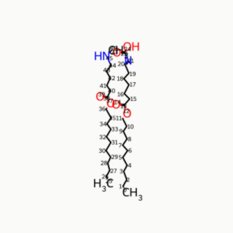 CCCCCCCCCCCCOC(=O)CCCCCC=NC(=O)O.CCCCCCCCCCCCOC(=O)CCCCCNC